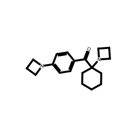 O=C(c1ccc(N2CCC2)cc1)C1(N2CCC2)CCCCC1